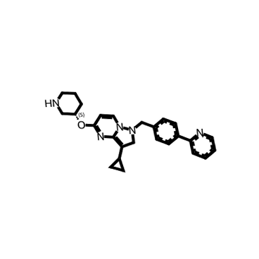 C1=CN2C(=C(C3CC3)CN2Cc2ccc(-c3ccccn3)cc2)N=C1O[C@H]1CCCNC1